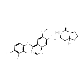 COc1cc2c(Nc3ccc(Cl)c(Cl)c3F)ncnc2cc1OC[C@H]1C[C@H]2CCCN2C(=O)N1